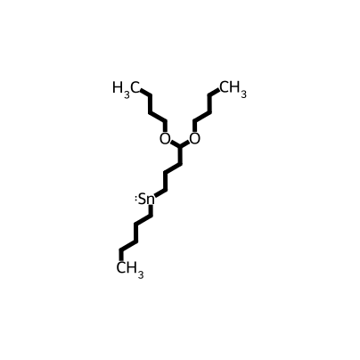 CCCC[CH2][Sn][CH2]CCC(OCCCC)OCCCC